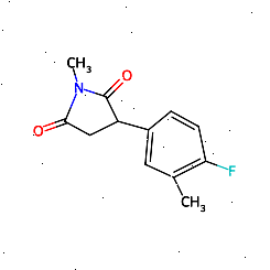 Cc1cc(C2CC(=O)N(C)C2=O)ccc1F